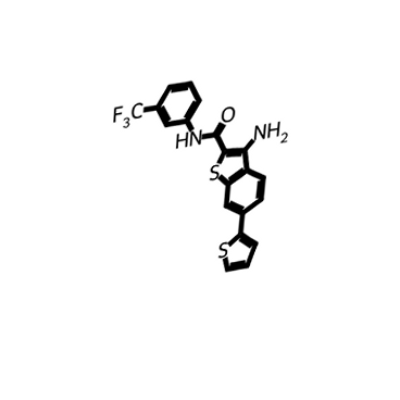 Nc1c(C(=O)Nc2cccc(C(F)(F)F)c2)sc2cc(-c3cccs3)ccc12